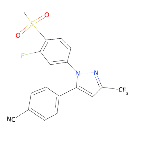 CS(=O)(=O)c1ccc(-n2nc(C(F)(F)F)cc2-c2ccc(C#N)cc2)cc1F